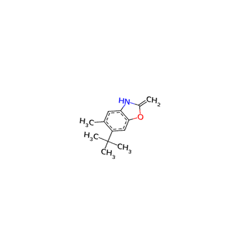 C=C1Nc2cc(C)c(C(C)(C)C)cc2O1